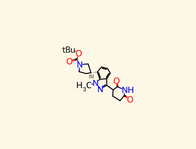 Cn1nc(C2CCC(=O)NC2=O)c2cccc([C@@H]3CCN(C(=O)OC(C)(C)C)C3)c21